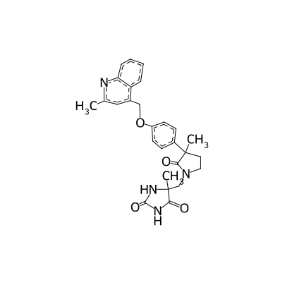 Cc1cc(COc2ccc(C3(C)CCN(CC4(C)NC(=O)NC4=O)C3=O)cc2)c2ccccc2n1